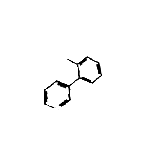 Cc1ccccc1-c1cccnc1